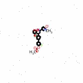 COC(=O)Oc1ccc(-c2ccc(C(C/C(=N\O)c3ccc(=O)n(C)c3)c3ccccc3C)c(F)c2)cc1F